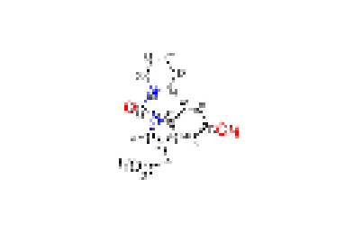 Cc1c(CC(=O)O)c2cc(O)ccc2n1C(=O)N1CCCCC1